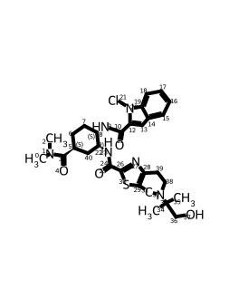 CN(C)C(=O)[C@H]1CC[C@H](NC(=O)c2cc3ccccc3n2Cl)[C@H](NC(=O)c2nc3c(s2)CN(C(C)(C)CO)CC3)C1